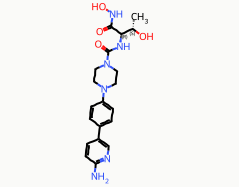 C[C@H](O)[C@@H](NC(=O)N1CCN(c2ccc(-c3ccc(N)nc3)cc2)CC1)C(=O)NO